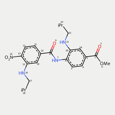 COC(=O)c1ccc(NC(=O)c2ccc([N+](=O)[O-])c(NCC(C)C)c2)c(NCC(C)C)c1